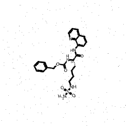 NS(=O)(=O)NCCCC[C@H](NC(=O)OCc1ccccc1)C(=O)Nc1cccc2cccnc12